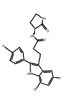 O=C(CCc1c(-c2ccc(F)cc2)[nH]c2c(Cl)cc(F)cc12)N[C@H]1CCNC1=O